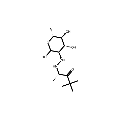 C[C@H](NN[C@H]1C(O)O[C@H](C)[C@@H](O)[C@@H]1O)C(=O)C(C)(C)C